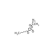 CCCCCCCC(=O)c1ccc(OC(=O)C(CC)CC)c([C]=O)c1